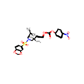 CC(C)CN(CC(C)(C)CCOC(=O)Oc1ccc([N+](=O)[O-])cc1)S(=O)(=O)c1ccc2c(c1)OCO2